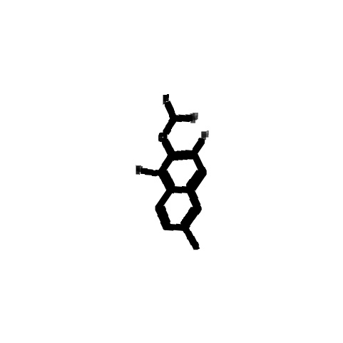 Cc1ccc2c(F)c(OC(F)F)c(F)cc2c1